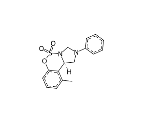 Cc1cccc2c1[C@@H]1CN(c3ccccc3)CN1S(=O)(=O)O2